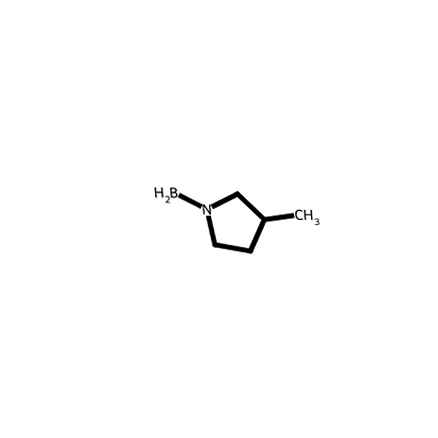 BN1CCC(C)C1